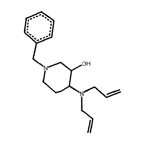 C=CCN(CC=C)C1CCN(Cc2ccccc2)CC1O